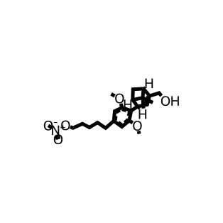 COc1cc(CCCCCO[N+](=O)[O-])cc(OC)c1[C@H]1C=C(CO)[C@H]2C[C@@H]1C2(C)C